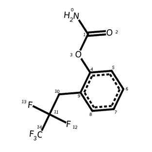 NC(=O)Oc1ccccc1CC(F)(F)C(F)(F)F